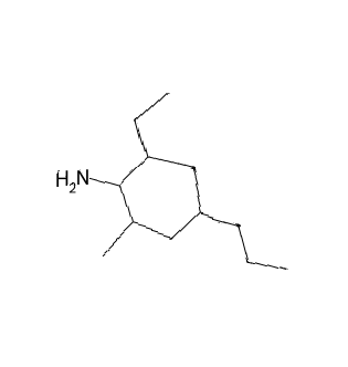 CCCC1CC(C)C(N)C(CC)C1